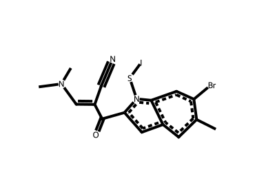 Cc1cc2cc(C(=O)/C(C#N)=C/N(C)C)n(SI)c2cc1Br